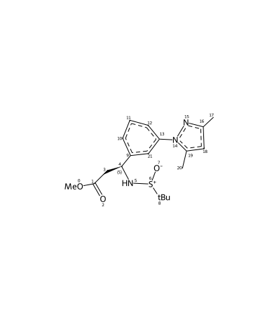 COC(=O)C[C@H](N[S+]([O-])C(C)(C)C)c1cccc(-n2nc(C)cc2C)c1